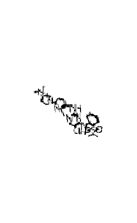 Cc1nc(N2CC[C@@H](N(C)C)C2)ccc1Nc1ncc(Cl)c(Nc2ccccc2S(=O)(=O)C(C)C)n1